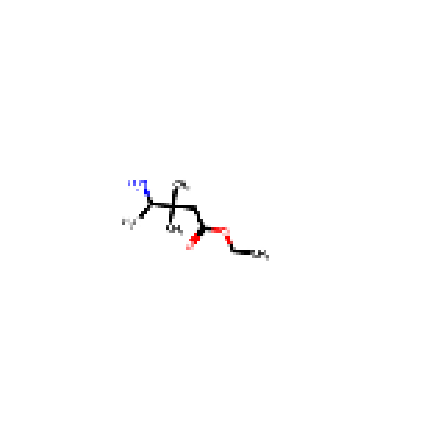 CCOC(=O)CC(C)(C)C(C)N